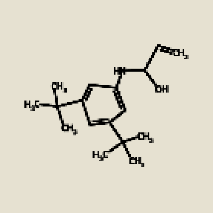 C=CC(O)Nc1cc(C(C)(C)C)cc(C(C)(C)C)c1